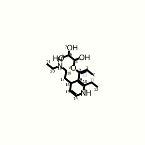 C/C=C(/OC(O)C(O)O)C1=C(CC)NC=CC1CCNCC